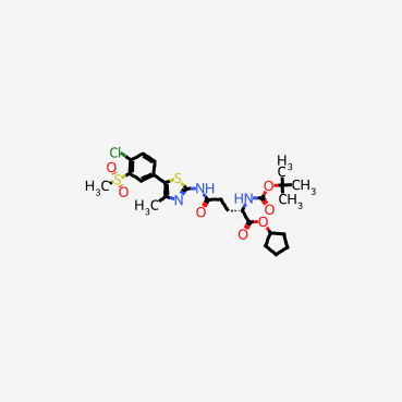 Cc1nc(NC(=O)CC[C@H](NC(=O)OC(C)(C)C)C(=O)OC2CCCC2)sc1-c1ccc(Cl)c(S(C)(=O)=O)c1